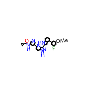 COc1cc(F)cc(-c2cccc3[nH]c(-c4n[nH]c5ccc(-c6cncc(NC(=O)C7CC7)c6)nc45)cc23)c1